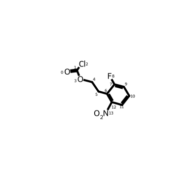 O=C(Cl)OCCc1c(F)cccc1[N+](=O)[O-]